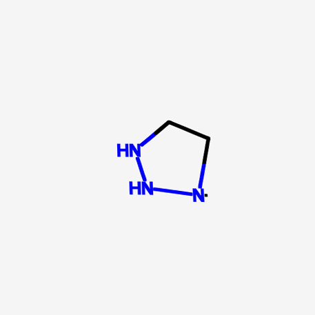 C1CNN[N]1